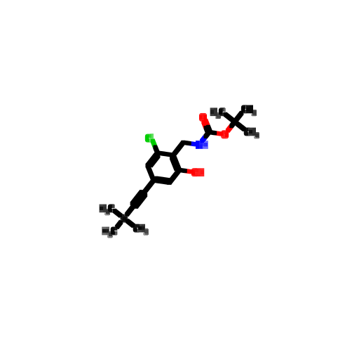 CC(C)(C)OC(=O)NCc1c(O)cc(C#C[Si](C)(C)C)cc1Cl